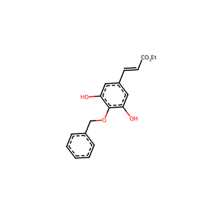 CCOC(=O)C=Cc1cc(O)c(OCc2ccccc2)c(O)c1